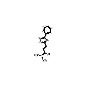 CN(C)C(S)CCc1nc(-c2ccccc2)no1